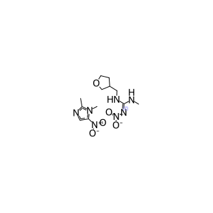 CN/C(=N/[N+](=O)[O-])NCC1CCOC1.Cc1ncc([N+](=O)[O-])n1C